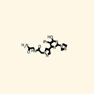 CC(C)c1c(O)nc(-n2ccnc2)nc1-c1cnn(CC(=O)NCC(N)=O)c1